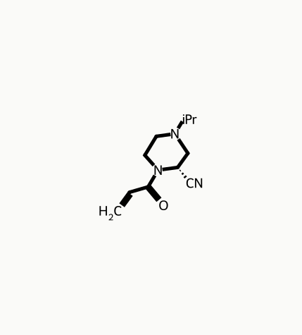 C=CC(=O)N1CCN(C(C)C)C[C@@H]1C#N